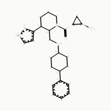 C[C@@H]1C[C@H]1C(=O)N1CCCC(c2cc[nH]n2)C1COC1CCC(c2ccccc2)CC1